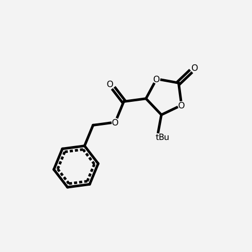 CC(C)(C)C1OC(=O)OC1C(=O)OCc1ccccc1